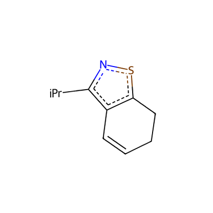 CC(C)c1nsc2c1C=CCC2